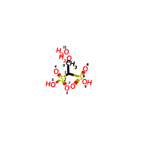 CC(S(=O)(=O)O)S(=O)(=O)O.O.O